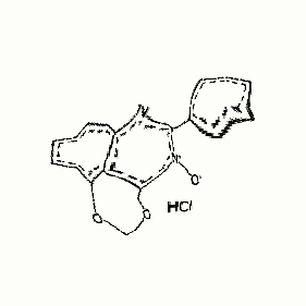 Cl.[O-][n+]1c(-c2ccccc2)nc2cccc3c2c1OCO3